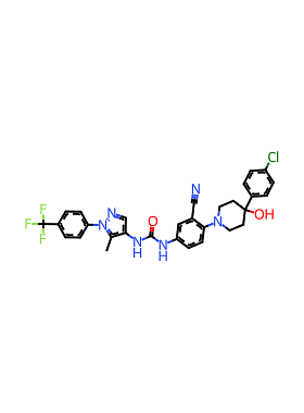 Cc1c(NC(=O)Nc2ccc(N3CCC(O)(c4ccc(Cl)cc4)CC3)c(C#N)c2)cnn1-c1ccc(C(F)(F)F)cc1